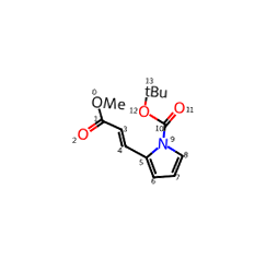 COC(=O)C=Cc1cccn1C(=O)OC(C)(C)C